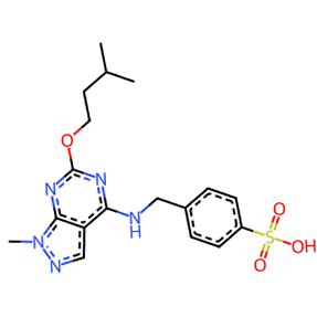 CC(C)CCOc1nc(NCc2ccc(S(=O)(=O)O)cc2)c2cnn(C)c2n1